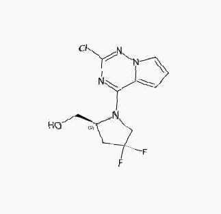 OC[C@@H]1CC(F)(F)CN1c1nc(Cl)nn2cccc12